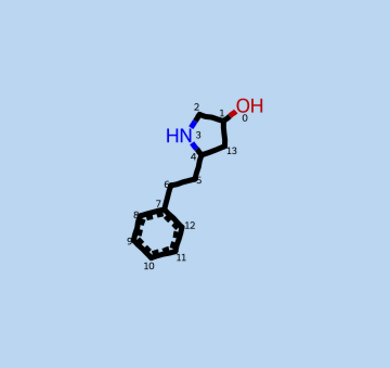 OC1CNC(CCc2ccccc2)C1